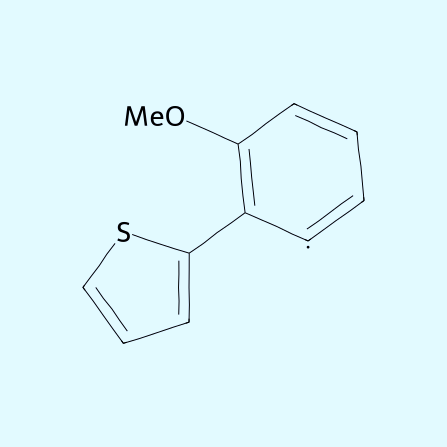 COc1ccc[c]c1-c1cccs1